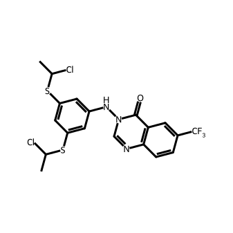 CC(Cl)Sc1cc(Nn2cnc3ccc(C(F)(F)F)cc3c2=O)cc(SC(C)Cl)c1